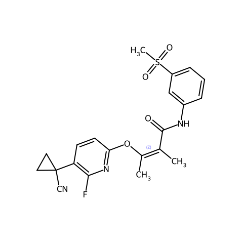 C/C(Oc1ccc(C2(C#N)CC2)c(F)n1)=C(\C)C(=O)Nc1cccc(S(C)(=O)=O)c1